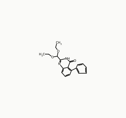 CCOC(OCC)c1nc2cccc(-c3ccccc3)c2c(=O)[nH]1